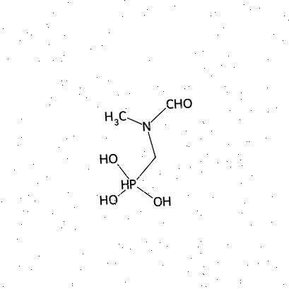 CN(C=O)C[PH](O)(O)O